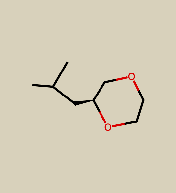 CC(C)C[C@H]1COCCO1